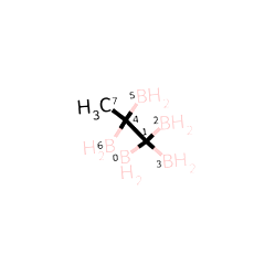 BC(B)(B)C(B)(B)C